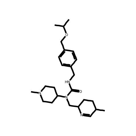 CC1C=NC(CN(C(=O)NCc2ccc(COC(C)C)cc2)C2CCN(C)CC2)CC1